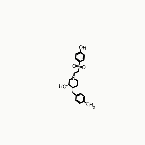 Cc1ccc(C[C@H]2CCN(CCS(=O)(=O)c3ccc(O)cc3)C[C@H]2O)cc1